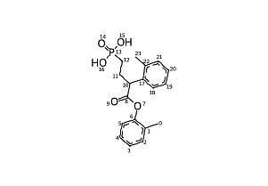 Cc1ccccc1OC(=O)C(CCP(=O)(O)O)c1ccccc1C